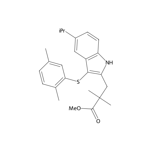 COC(=O)C(C)(C)Cc1[nH]c2ccc(C(C)C)cc2c1Sc1cc(C)ccc1C